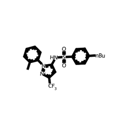 CCCCc1ccc(S(=O)(=O)Nc2cc(C(F)(F)F)nn2-c2ccccc2C)cc1